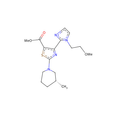 COCCn1ccnc1-c1nc(N2CCC[C@@H](C)C2)sc1C(=O)OC